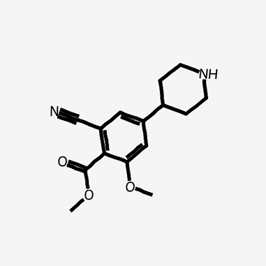 COC(=O)c1c(C#N)cc(C2CCNCC2)cc1OC